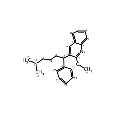 COc1nc2ccccc2cc1C(CCCN(C)C)c1ccccc1